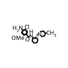 COc1cc(N)c(Cl)cc1C(=O)N[C@H]1CCCC[C@H]1CN1CCC(C)CC1